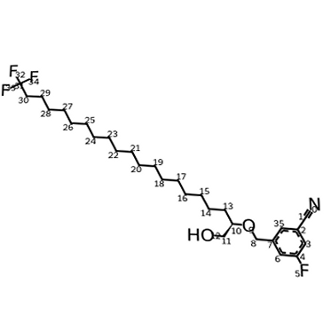 N#Cc1cc(F)cc(CO[C@@H](CO)CCCCCCCCCCCCCCCCCCC(F)(F)F)c1